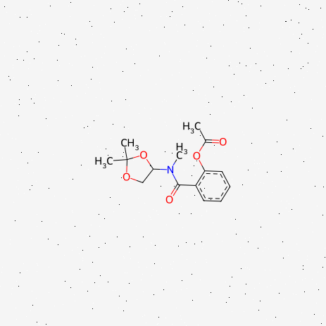 CC(=O)Oc1ccccc1C(=O)N(C)C1COC(C)(C)O1